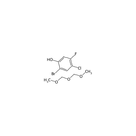 COCOCOC.Oc1cc(F)c(Cl)cc1Br